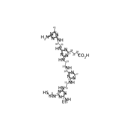 CCNc1nc(NCCS)nc(NCCNc2ncnc(CNCCNc3nc(CCCC(=O)O)nc(NCCNc4nc(C)nc(N)n4)n3)n2)n1